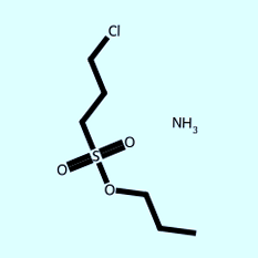 CCCOS(=O)(=O)CCCCl.N